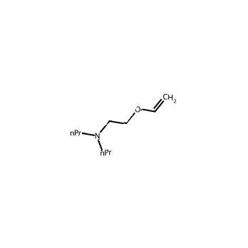 C=COCCN(CCC)CCC